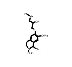 COc1cc2c(cc1OCC(O)CNC(C)C)CCN(C=O)C2C